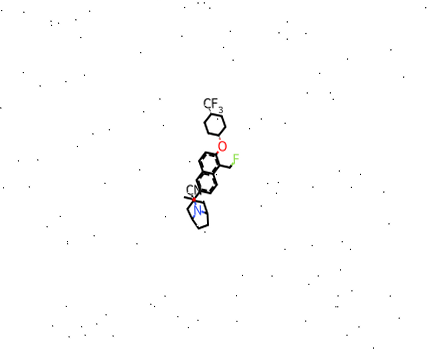 CC(c1ccc2c(CF)c(O[C@H]3CC[C@@H](C(F)(F)F)CC3)ccc2c1)N1C2CCC1CC(C#N)C2